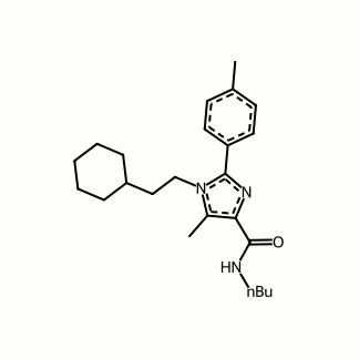 CCCCNC(=O)c1nc(-c2ccc(C)cc2)n(CCC2CCCCC2)c1C